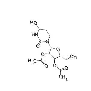 CC(=O)O[C@H]1[C@H](OC(C)=O)[C@@H](CO)O[C@H]1N1CCC(O)NC1=O